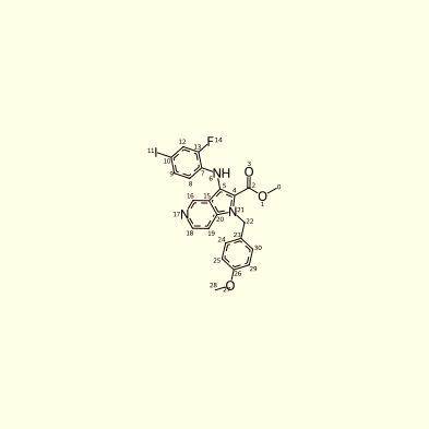 COC(=O)c1c(Nc2ccc(I)cc2F)c2cnccc2n1Cc1ccc(OC)cc1